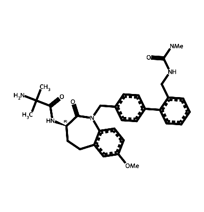 CNC(=O)NCc1ccccc1-c1ccc(CN2C(=O)[C@H](NC(=O)C(C)(C)N)CCc3cc(OC)ccc32)cc1